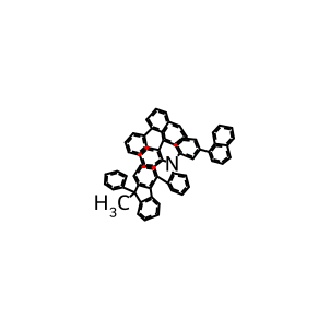 CC1(c2ccccc2)c2ccccc2-c2c(-c3ccccc3N(c3cccc(-c4cccc5ccccc45)c3)c3ccccc3-c3cccc4cccc(-c5ccccc5)c34)cccc21